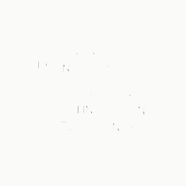 [CH2-][NH+]1CCCC2=C(C1)[NH+]([CH2-])c1ncncc12